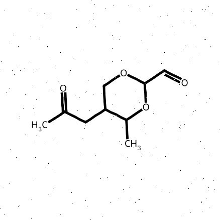 CC(=O)CC1COC(C=O)OC1C